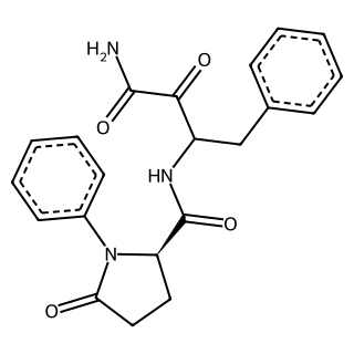 NC(=O)C(=O)C(Cc1ccccc1)NC(=O)[C@H]1CCC(=O)N1c1ccccc1